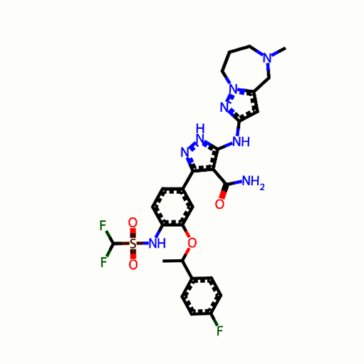 CC(Oc1cc(-c2n[nH]c(Nc3cc4n(n3)CCCN(C)C4)c2C(N)=O)ccc1NS(=O)(=O)C(F)F)c1ccc(F)cc1